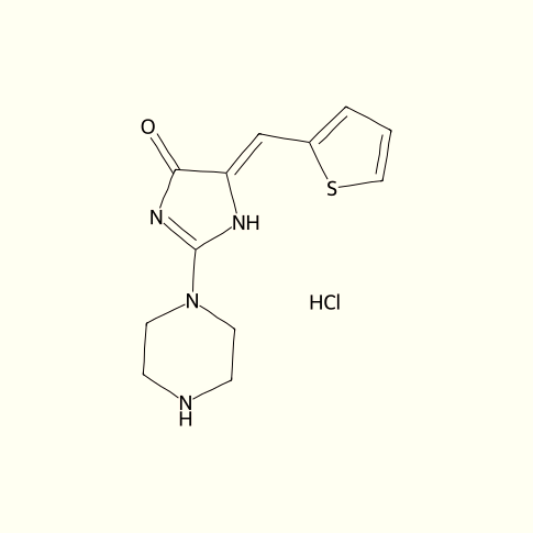 Cl.O=C1N=C(N2CCNCC2)NC1=Cc1cccs1